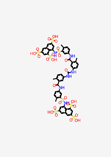 Cc1ccc(NC(=O)Nc2ccc(C)c(C(=O)Nc3ccc(C)c(S(=O)(=O)Nc4cc(S(=O)(=O)O)cc5cc(S(=O)(=O)O)cc(S(=O)(=O)O)c45)c3)c2)cc1C(=O)Nc1ccc(C)c(S(=O)(=O)Nc2cc(S(=O)(=O)O)cc3cc(S(=O)(=O)O)cc(S(=O)(=O)O)c23)c1